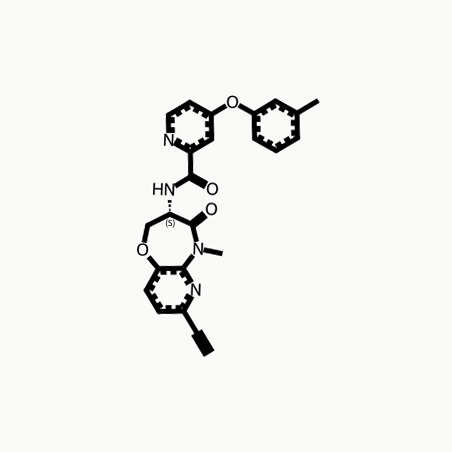 C#Cc1ccc2c(n1)N(C)C(=O)[C@@H](NC(=O)c1cc(Oc3cccc(C)c3)ccn1)CO2